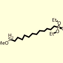 CCOP(=O)(CCCCCCCCCCCC[SiH2]OC)OCC